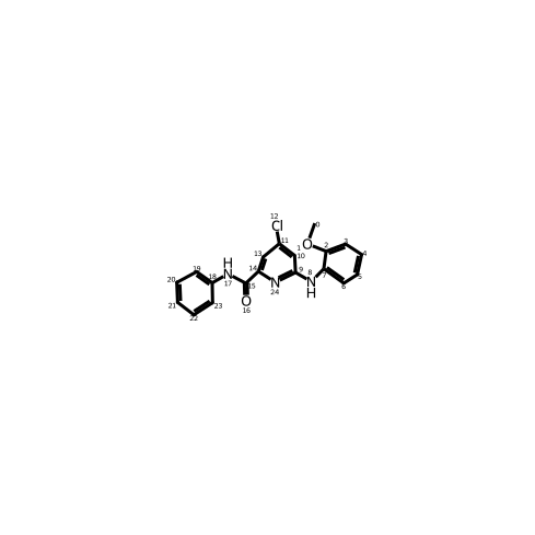 COc1ccccc1Nc1cc(Cl)cc(C(=O)Nc2ccccc2)n1